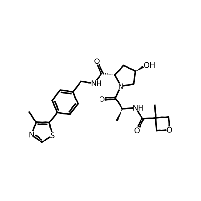 Cc1ncsc1-c1ccc(CNC(=O)[C@@H]2C[C@@H](O)CN2C(=O)[C@H](C)NC(=O)C2(C)COC2)cc1